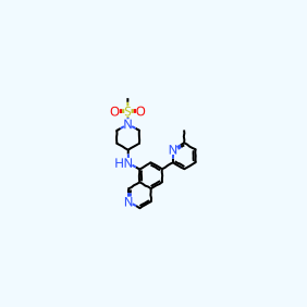 Cc1cccc(-c2cc(NC3CCN(S(C)(=O)=O)CC3)c3cnccc3c2)n1